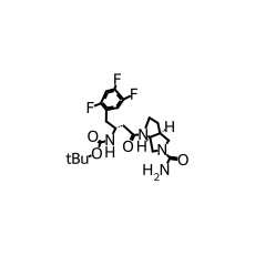 CC(C)(C)OC(=O)N[C@@H](CC(=O)N1CC[C@H]2CN(C(N)=O)C[C@H]21)Cc1cc(F)c(F)cc1F